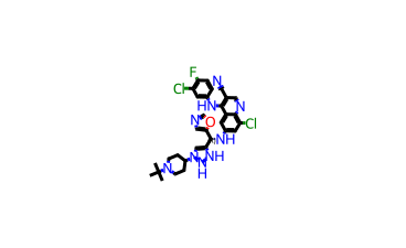 CC(C)(C)N1CCC(N2C=C([C@@H](Nc3cc(Cl)c4ncc(C#N)c(Nc5ccc(F)c(Cl)c5)c4c3)c3cnco3)NN2)CC1